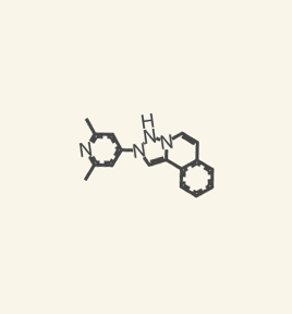 Cc1cc(N2C=C3c4ccccc4C=CN3N2)cc(C)n1